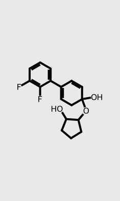 OC1CCCC1OC1(O)C=CC(c2cccc(F)c2F)=CC1